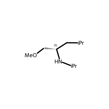 COC[C@H](CC(C)C)NC(C)C